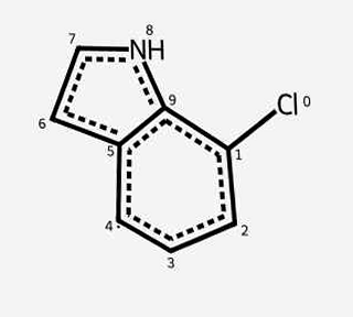 Clc1cc[c]c2cc[nH]c12